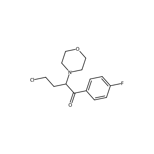 O=C(c1ccc(F)cc1)C(CCCl)N1CCOCC1